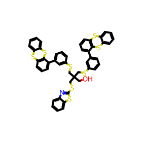 OCC(CSc1cccc(-c2cccc3c2Sc2ccccc2S3)c1)(CSc1cccc(-c2cccc3c2Sc2ccccc2S3)c1)CSc1nc2ccccc2s1